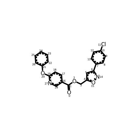 O=C(OCc1cc(-c2ccc(Cl)cc2)no1)c1ccc(Oc2ccccc2)nc1